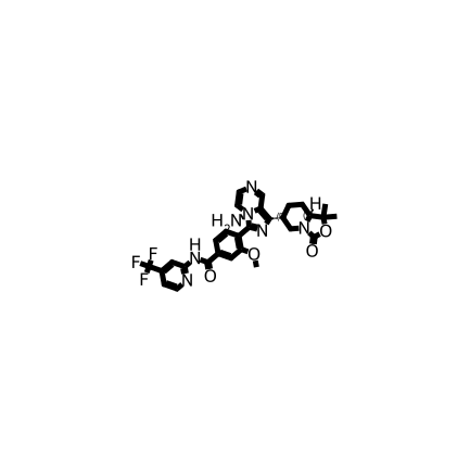 COc1cc(C(=O)Nc2cc(C(F)(F)F)ccn2)ccc1C1=NC([C@@H]2CC[C@@H]3N(C2)C(=O)OC3(C)C)=C2C=NC=C[N+]12N